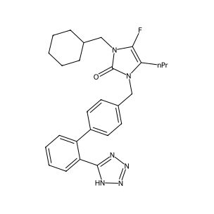 CCCc1c(F)n(CC2CCCCC2)c(=O)n1Cc1ccc(-c2ccccc2-c2nnn[nH]2)cc1